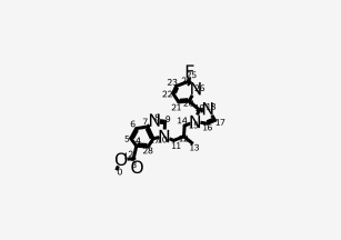 COC(=O)c1ccc2ncn(CC(C)Cn3ccnc3-c3cccc(F)n3)c2c1